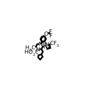 CC(CNc1ccc(OC(F)F)cc1)N(C(=O)O)C(CC1CCCC1)Cn1ccc(C(F)(F)F)n1